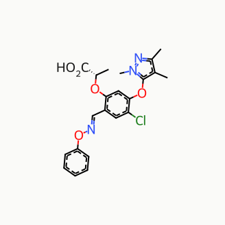 Cc1nn(C)c(Oc2cc(O[C@@H](C)C(=O)O)c(/C=N/Oc3ccccc3)cc2Cl)c1C